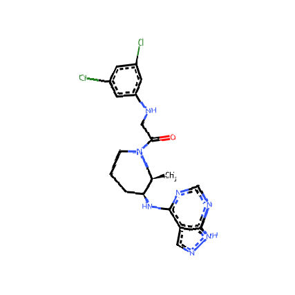 C[C@H]1[C@@H](Nc2ncnc3[nH]ncc23)CCCN1C(=O)CNc1cc(Cl)cc(Cl)c1